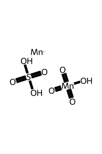 O=S(=O)(O)O.[Mn].[O]=[Mn](=[O])(=[O])[OH]